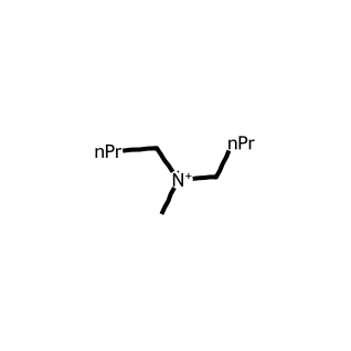 CCCC[N+](C)CCCC